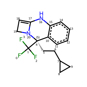 FC(F)(F)[C@]1(CCC2CC2)c2ccccc2NC2=CCN21